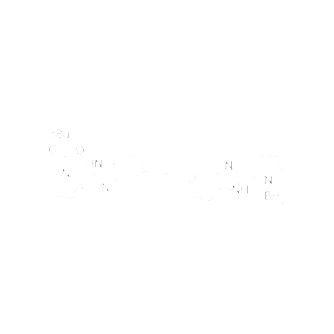 BN1CCC[C@H]1c1nc2cc(C#Cc3ccc4[nH]c([C@@H]5CCCN5C(=O)OC(C)(C)C)nc4c3)ccc2[nH]1